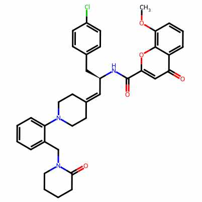 COc1cccc2c(=O)cc(C(=O)N[C@@H](C=C3CCN(c4ccccc4CN4CCCCC4=O)CC3)Cc3ccc(Cl)cc3)oc12